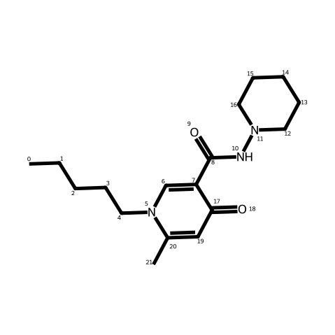 CCCCCn1cc(C(=O)NN2CCCCC2)c(=O)cc1C